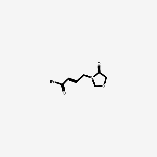 CC(C)C(=O)/C=C/CN1COCC1=O